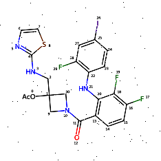 CC(=O)OC1(CNc2nccs2)CN(C(=O)c2ccc(F)c(F)c2Nc2ccc(I)cc2F)C1